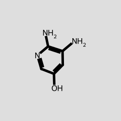 Nc1cc(O)cnc1N